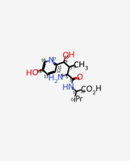 CC(C)C(NC(=O)C(N)C(C)C(O)c1ccc(O)cn1)C(=O)O